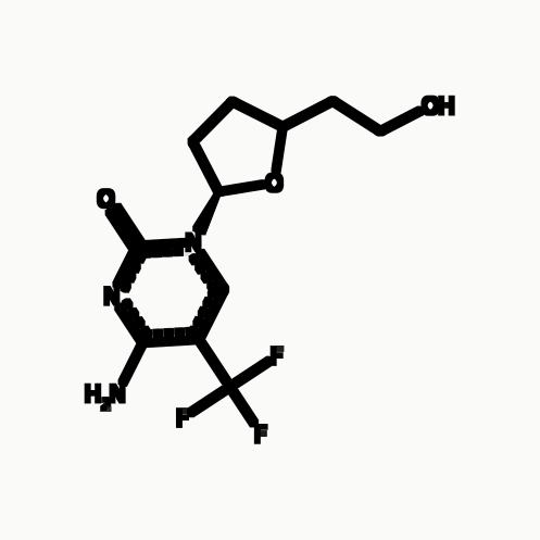 Nc1nc(=O)n([C@H]2CCC(CCO)O2)cc1C(F)(F)F